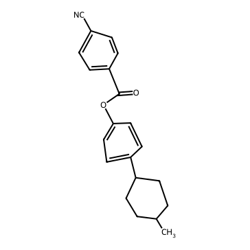 CC1CCC(c2ccc(OC(=O)c3ccc(C#N)cc3)cc2)CC1